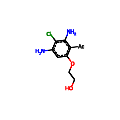 CC(=O)c1c(OCCO)cc(N)c(Cl)c1N